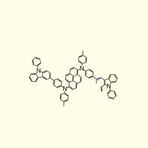 C=Cc1c(/C=C(\C)c2ccc(N(c3ccc(C)cc3)c3ccc4ccc5c(N(c6ccc(C)cc6)c6ccc(-c7ccc8c(c7)c7ccccc7n8-c7ccccc7)cc6)ccc6ccc3c4c65)cc2)c2ccccc2n1-c1ccccc1